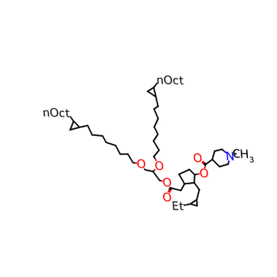 CCCCCCCCC1CC1CCCCCCCCOCC(COC(=O)CC1CCC(OC(=O)C2CCN(C)CC2)C1CC1CC1CC)OCCCCCCCCC1CC1CCCCCCCC